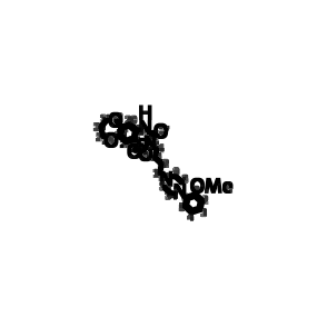 COc1ccccc1N1CCN(CCCCN2C(=O)Nc3cc4c(cc3S2(=O)=O)OCCCO4)CC1